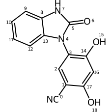 N#Cc1cc(-n2c(=O)[nH]c3ccccc32)c(O)cc1O